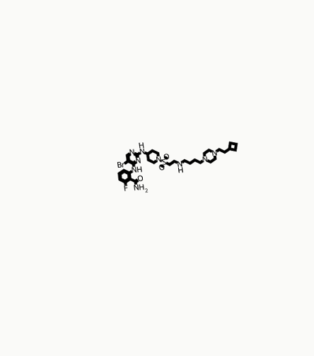 NC(=O)c1c(F)cccc1Nc1nc(NC2CCN(S(=O)(=O)CCNCCCCN3CCN(CCC4CCC4)CC3)CC2)ncc1Br